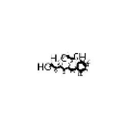 C=CC=C.OCCCCC=Cc1ccccc1